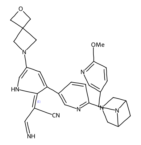 COc1ccc(CN2C3CC2CN(c2ccc(C4=CC(N5CC6(COC6)C5)=CN/C4=C(/C#N)C=N)cn2)C3)cn1